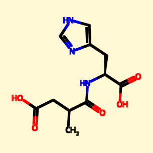 CC(CC(=O)O)C(=O)N[C@@H](Cc1c[nH]cn1)C(=O)O